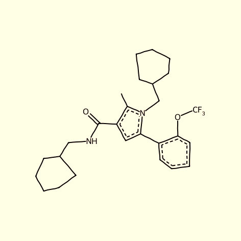 Cc1c(C(=O)NCC2CCCCC2)cc(-c2ccccc2OC(F)(F)F)n1CC1CCCCC1